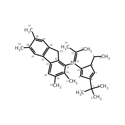 CCC1C=C(C(C)(C)C)C=[C]1[Zr](=[C](C)C)[c]1c(C)c(C)cc2c1Cc1cc(C)c(C)cc1-2